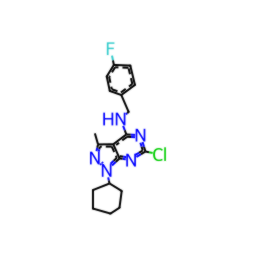 Cc1nn(C2CCCCC2)c2nc(Cl)nc(NCc3ccc(F)cc3)c12